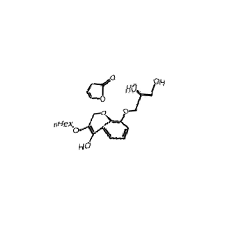 CCCCCCOC1=C(O)c2cccc(OCC(O)CO)c2OC1.O=C1CC=CO1